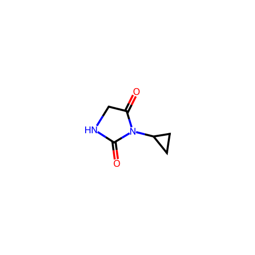 O=C1CNC(=O)N1C1CC1